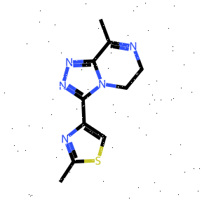 CC1=NCCn2c1nnc2-c1csc(C)n1